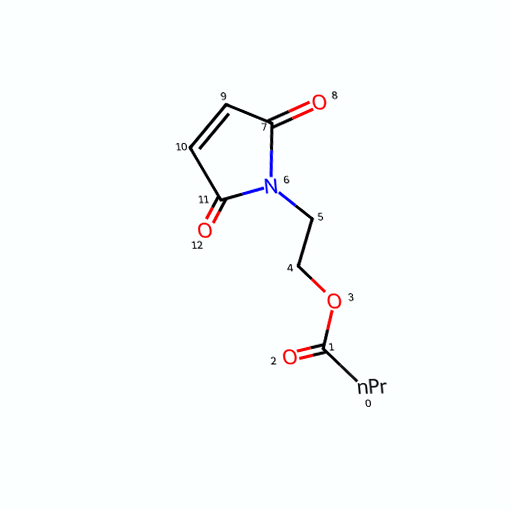 CCCC(=O)OCCN1C(=O)C=CC1=O